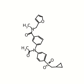 CC(=O)N(c1ccc(S(=O)(=O)CC2CC2)cc1)c1cccc(C(=O)N(C)Cc2ccco2)c1